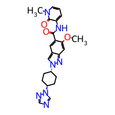 COc1cc2nn([C@H]3CC[C@H](n4cncn4)CC3)cc2cc1C(=O)Nc1cccn(C)c1=O